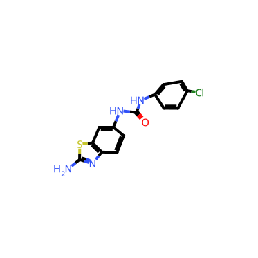 Nc1nc2ccc(NC(=O)Nc3ccc(Cl)cc3)cc2s1